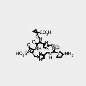 N=C(NCc1cnn(C[C@@H]2[C@H](NC(=O)/C(=N\OC3(C(=O)O)CC3)c3csc(N)n3)C(=O)N2S(=O)(=O)O)n1)N1CC[C@H](N)C1